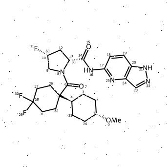 CO[C@H]1CC[C@H](C2(C(=O)N3C[C@H](F)C[C@@H]3C(=O)Nc3ccc4[nH]ncc4n3)CCC(F)(F)CC2)CC1